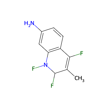 CC1=C(F)c2ccc(N)cc2N(F)C1F